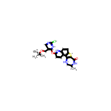 CC1CNc2c(sc3ccc4nc(Oc5nc(Cl)ncc5CO[Si](C)(C)C(C)(C)C)ccc4c23)C(=O)N1